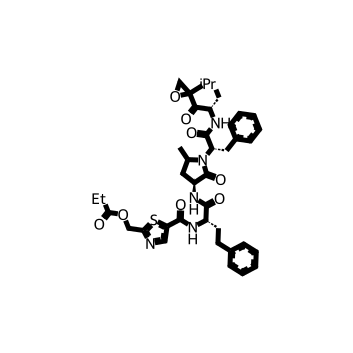 CCC(=O)OCc1ncc(C(=O)N[C@@H](CCc2ccccc2)C(=O)N[C@H]2CC(C)N([C@@H](Cc3ccccc3)C(=O)N[C@@H](CC(C)C)C(=O)C3(C)CO3)C2=O)s1